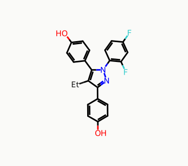 CCc1c(-c2ccc(O)cc2)nn(-c2ccc(F)cc2F)c1-c1ccc(O)cc1